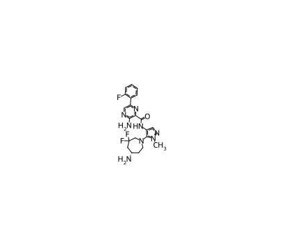 Cn1ncc(NC(=O)c2nc(-c3ccccc3F)cnc2N)c1N1CC[C@H](N)CC(F)(F)C1